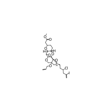 C=CCOC12COC3C4O[C@H]5CCC(CC(=O)OC)O[C@@H]5C3O[C@@](CCC(Cl)CC(=C)I)(C1)OC42